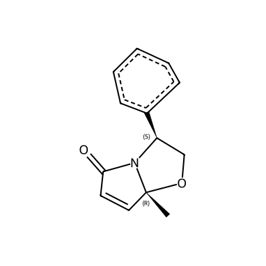 C[C@@]12C=CC(=O)N1[C@@H](c1ccccc1)CO2